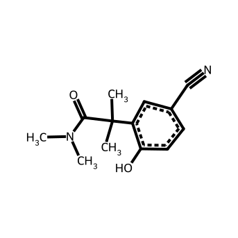 CN(C)C(=O)C(C)(C)c1cc(C#N)ccc1O